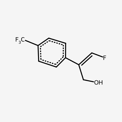 OCC(=CF)c1ccc(C(F)(F)F)cc1